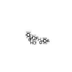 Cl.O=C(CCCN1CC=C([S+]([O-])c2ccccc2)CC1)c1ccc(F)cc1